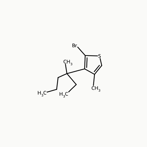 CCCC(C)(CC)c1c(C)csc1Br